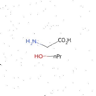 CCCO.NCC(=O)O